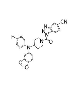 N#Cc1ccc2c(c1)nnn2C(=O)N1CCC(N(c2ccc(F)cc2)c2ccc3c(c2)OCO3)CC1